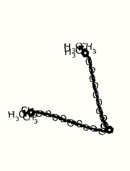 CC(C)(C)c1ccc(COCCOCCOCCOCCOCCOCCOCCOCCOc2ccccc2OCCOCCOCCOCCOCCOCCOCCOCCOCc2ccc(C(C)(C)C)cc2)cc1